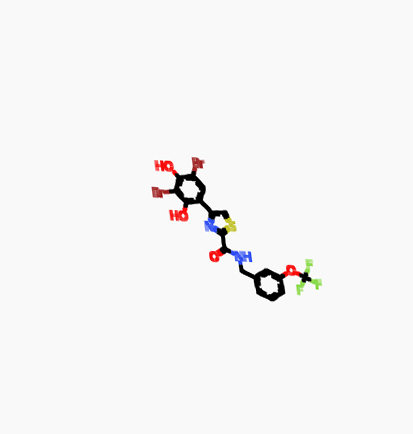 O=C(NCc1cccc(OC(F)(F)F)c1)c1nc(-c2cc(Br)c(O)c(Br)c2O)cs1